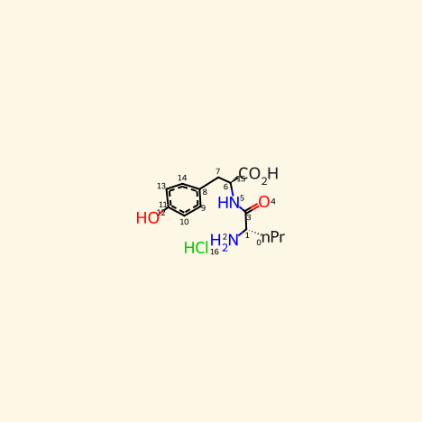 CCC[C@H](N)C(=O)N[C@@H](Cc1ccc(O)cc1)C(=O)O.Cl